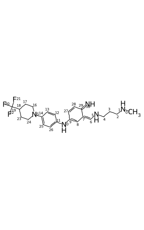 CNCCCN/C=C1/C=C(Nc2ccc(N3CCC(C(F)(F)F)CC3)cc2)C=CC1=N